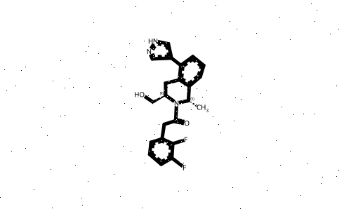 C[C@H]1c2cccc(-c3cn[nH]c3)c2C[C@H](CO)N1C(=O)Cc1cccc(F)c1F